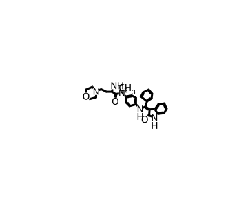 CN(C(=O)C(N)CCN1CCOCC1)c1ccc(N/C(=C2\C(=O)Nc3ccccc32)c2ccccc2)cc1